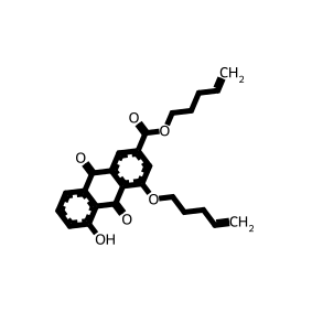 C=CCCCOC(=O)c1cc(OCCCC=C)c2c(c1)C(=O)c1cccc(O)c1C2=O